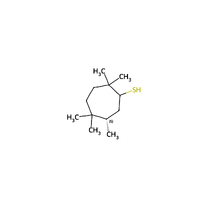 C[C@H]1CC(S)C(C)(C)CCC1(C)C